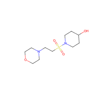 O=S(=O)(CCN1CCOCC1)N1CCC(O)CC1